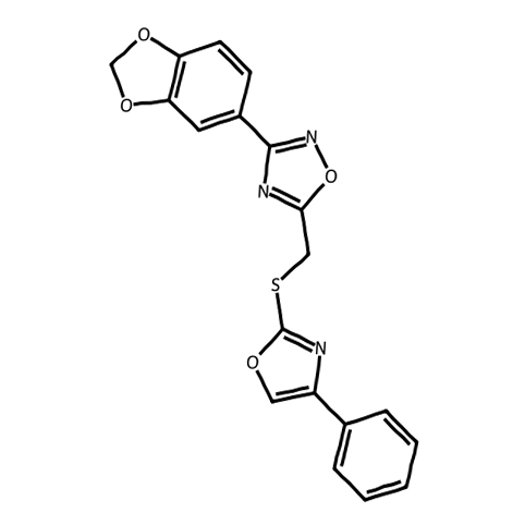 c1ccc(-c2coc(SCc3nc(-c4ccc5c(c4)OCO5)no3)n2)cc1